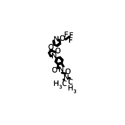 CCN(CC)C(=O)CN1Cc2ccc(N3CC[C@@H](Oc4ccc(OCC(F)(F)F)nc4)C3=O)cc2C1=O